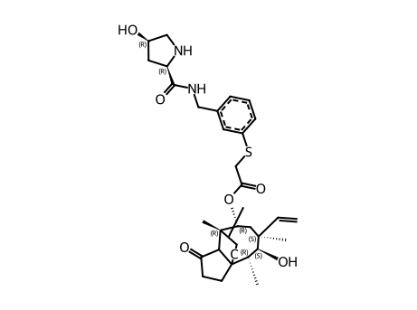 C=C[C@]1(C)C[C@@H](OC(=O)CSc2cccc(CNC(=O)[C@H]3C[C@@H](O)CN3)c2)[C@]2(C)C(C)CCC3(CCC(=O)C32)[C@@H](C)[C@@H]1O